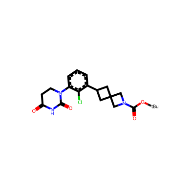 CC(C)(C)OC(=O)N1CC2(CC(c3cccc(N4CCC(=O)NC4=O)c3Cl)C2)C1